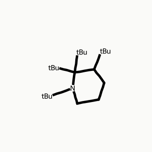 CC(C)(C)C1CCCN(C(C)(C)C)C1(C(C)(C)C)C(C)(C)C